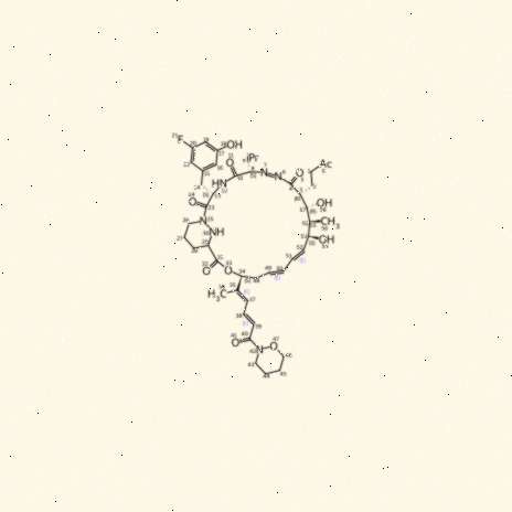 CC(=O)CC[C@H]1C(=O)N=N[C@@H](C(C)C)C(=O)N[C@@H](Cc2cc(O)cc(F)c2)C(=O)N2CCCC(N2)C(=O)O[C@H](/C(C)=C/C=C/C(=O)N2CCCCO2)C/C=C/C=C/[C@H](O)[C@H](C)[C@H]1O